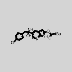 CC(C)(C)C(=O)Oc1cc2cc(C(C)(C)Cc3ccc(Cl)cc3)cnc2[nH]1